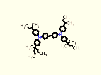 CCCC(C)(C)c1ccc(N(c2ccc(-c3ccc(N(c4ccc(C(C)CC)cc4)c4ccc(C(C)(CCC)CCC)cc4)cc3)cc2)c2ccc(C(C)CC)cc2)cc1